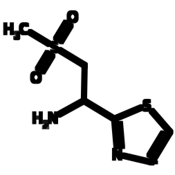 CS(=O)(=O)CC(N)c1n[c]cs1